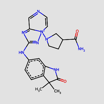 CC1(C)C(=O)Nc2cc(NC3=N[N+]4(N5CCC(C(N)=O)C5)C=CN=CC4=N3)ccc21